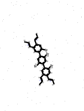 C/C=C/c1cc(Br)c(-c2cc(Br)c(-c3cc(/C=C/C)c(/C=C/C)cc3Br)cc2Br)cc1/C=C/C